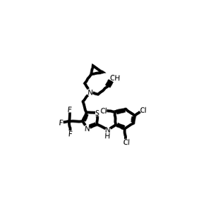 C#CCN(Cc1sc(Nc2c(Cl)cc(Cl)cc2Cl)nc1C(F)(F)F)CC1CC1